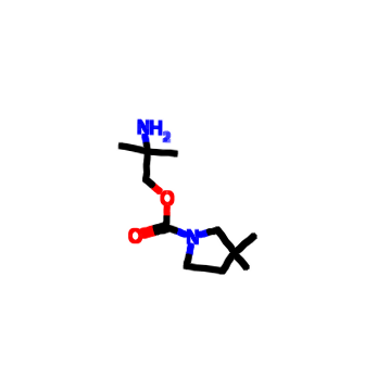 CC(C)(N)COC(=O)N1CCC(C)(C)C1